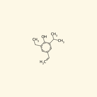 C=Cc1cc(CC)c(O)c(C(C)C)c1